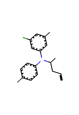 C=CCC(C)N(c1ccc(C(C)(C)C)cc1)c1cc(C)cc(Br)c1